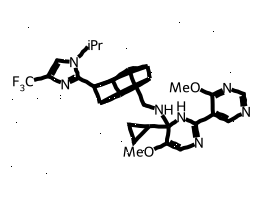 COC1=CN=C(c2cncnc2OC)NC1(NCC12C3C4C1C1C2C3C41c1nc(C(F)(F)F)cn1C(C)C)C1CC1